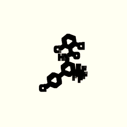 O=C(Nc1cc(-c2ccc(Cl)cc2)cc(S(F)(F)(F)(F)F)c1)c1c(Cl)cccc1Cl